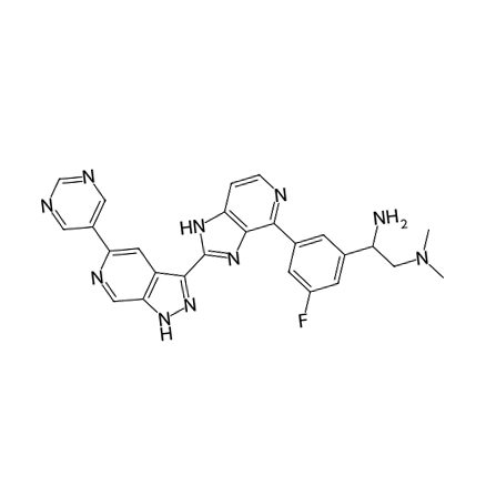 CN(C)CC(N)c1cc(F)cc(-c2nccc3[nH]c(-c4n[nH]c5cnc(-c6cncnc6)cc45)nc23)c1